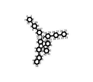 c1ccc(-c2ccc(-c3ccc(N(c4ccc(-c5ccc(-c6ccccc6)cc5)cc4)c4ccc5c(c4)C(c4ccccc4)(c4ccccc4)c4cc(-c6ccc7ccccc7c6)ccc4-5)cc3)cc2)cc1